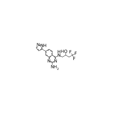 Nc1nc(NCC(O)CC(F)(F)F)c2ccc(-c3ccn[nH]3)cc2n1